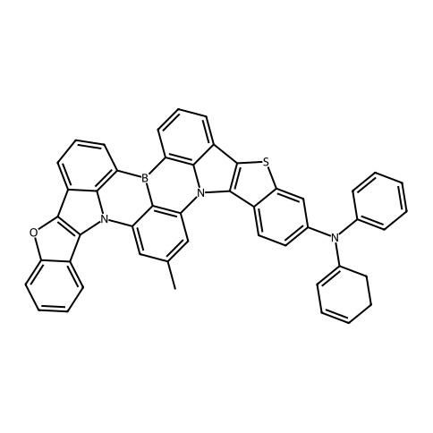 Cc1cc2c3c(c1)-n1c4c(cccc4c4sc5cc(N(C6=CC=CCC6)c6ccccc6)ccc5c41)B3c1cccc3c4oc5ccccc5c4n-2c13